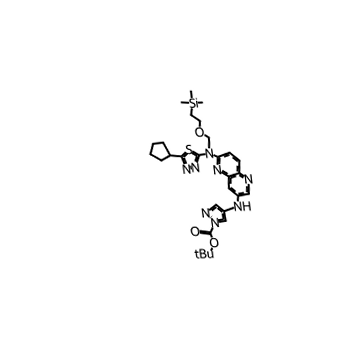 CC(C)(C)OC(=O)n1cc(Nc2cnc3ccc(N(COCC[Si](C)(C)C)c4nnc(C5CCCC5)s4)nc3c2)cn1